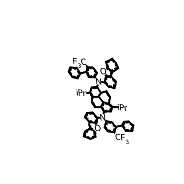 CC(C)C1=C2C=Cc3c(N(c4ccc(C(F)(F)F)c(-c5ccccc5)c4)c4cccc5c4oc4ccccc45)cc(C(C)C)c4c3C2C(C=C4)C(N(c2ccc(C(F)(F)F)c(-c3ccccc3)c2)c2cccc3c2oc2ccccc23)=C1